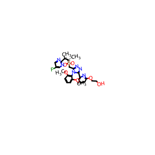 COc1cccc(OC)c1-n1c(CS(=O)(=O)[C@@H](C)[C@H](C)c2ncc(F)cn2)nnc1-c1cccc(OCCO)n1